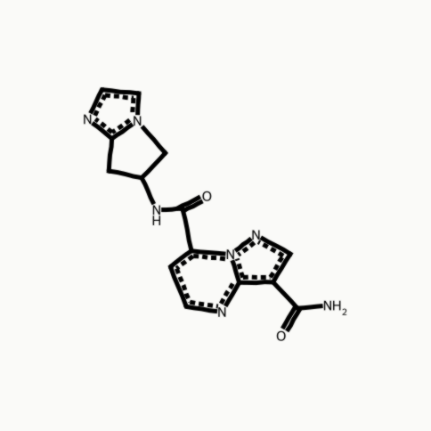 NC(=O)c1cnn2c(C(=O)NC3Cc4nccn4C3)ccnc12